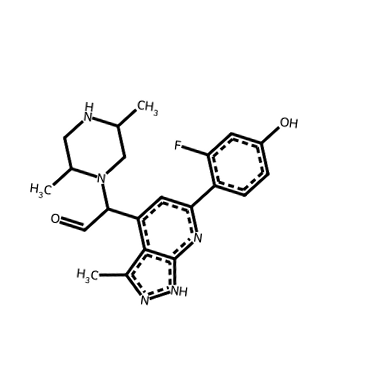 Cc1n[nH]c2nc(-c3ccc(O)cc3F)cc(C(C=O)N3CC(C)NCC3C)c12